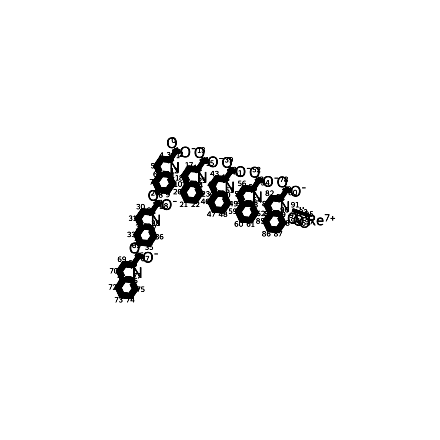 O=C([O-])c1ccc2ccccc2n1.O=C([O-])c1ccc2ccccc2n1.O=C([O-])c1ccc2ccccc2n1.O=C([O-])c1ccc2ccccc2n1.O=C([O-])c1ccc2ccccc2n1.O=C([O-])c1ccc2ccccc2n1.O=C([O-])c1ccc2ccccc2n1.[C]=O.[C]=O.[C]=O.[Re+7]